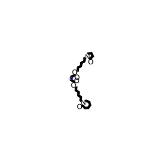 O=C(/C=C\C(=O)OCCCCCCN1CCCC1=O)OCCCCCCN1CCCCCC1=O